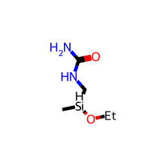 CCO[SiH](C)CNC(N)=O